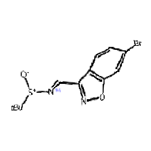 CC(C)(C)[S+]([O-])/N=C/c1noc2cc(Br)ccc12